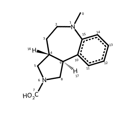 CN1CC[C@H]2CN(C(=O)O)C[C@@H]2c2ccccc21